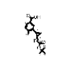 Cc1ccc(C(=O)O)cc1C1CC1NC(=O)OC(C)(C)C